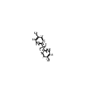 Cc1ccc(C(C)(C)c2ccc(C)cn2)nc1